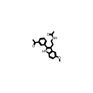 COc1ccc2[nH]c(-c3cccc(C(C)=O)c3)c(CCNC(C)=O)c2c1